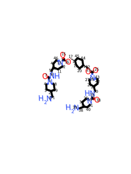 NCC1CCN(C(=O)NCC2CCN(C(=O)OC[C@H]3CC[C@H](COC(=O)N4CCC(CNC(=O)N5CCC(CN)CC5)CC4)CC3)CC2)CC1